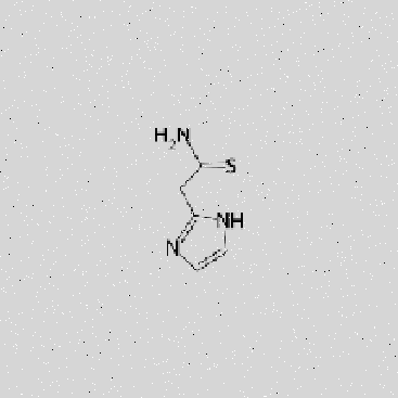 NC(=S)Cc1ncc[nH]1